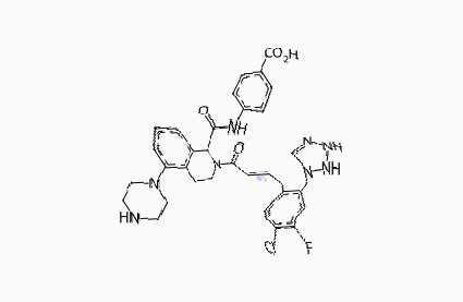 O=C(O)c1ccc(NC(=O)C2c3cccc(N4CCNCC4)c3CCN2C(=O)/C=C/c2cc(Cl)c(F)cc2N2C=NNN2)cc1